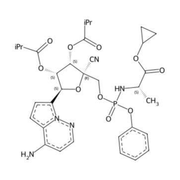 CC(C)C(=O)O[C@H]1[C@H](c2ccc3c(N)ccnn23)O[C@](C#N)(COP(=O)(N[C@@H](C)C(=O)OC2CC2)Oc2ccccc2)[C@H]1OC(=O)C(C)C